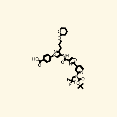 CC(C)(C)OC(=O)N(CC(F)(F)F)c1cc(-c2nc(C(=O)Nc3cn(-c4ccc(C(=O)O)cc4)nc3CCCOC3CCCCO3)co2)ccn1